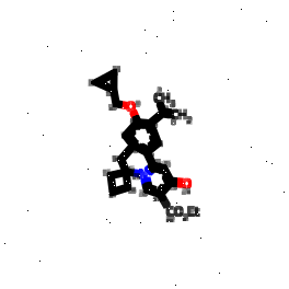 C=C(C)c1cc2c(cc1OCC1CC1)CC1(CCC1)n1cc(C(=O)OCC)c(=O)cc1-2